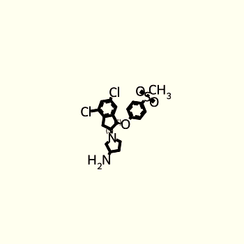 CS(=O)(=O)c1ccc(O[C@H]2c3cc(Cl)cc(Cl)c3C[C@@H]2N2CCC(N)C2)cc1